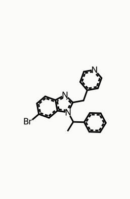 CC(c1ccccc1)n1c(Cc2ccncc2)nc2ccc(Br)cc21